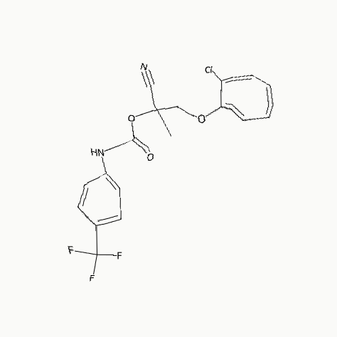 CC(C#N)(COc1ccccc1Cl)OC(=O)Nc1ccc(C(F)(F)F)cc1